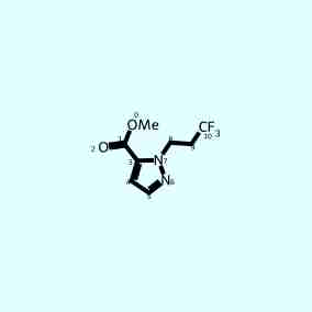 COC(=O)c1ccnn1CCC(F)(F)F